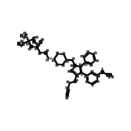 COc1cccc(-c2c(SCC#N)nn(C[C@H]3CC[C@H](COCC(=O)OC(C)(C)C)CC3)c2-c2ccccc2)c1